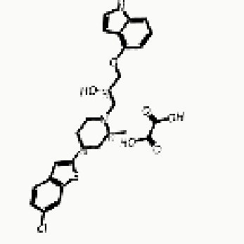 C[C@H]1C[C@@H](c2cc3ccc(Cl)cc3s2)CCN1C[C@H](O)COc1cccc2[nH]ccc12.O=C(O)C(=O)O